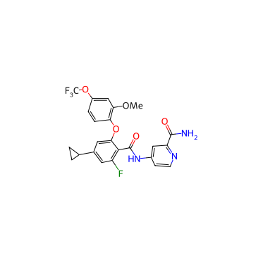 COc1cc(OC(F)(F)F)ccc1Oc1cc(C2CC2)cc(F)c1C(=O)Nc1ccnc(C(N)=O)c1